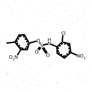 Cc1ccc(OS(=O)(=O)Nc2ccc([N+](=O)[O-])cc2Cl)cc1[N+](=O)[O-]